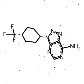 Nc1ncnc2c1nnn2[C@H]1CC[C@@H](C(F)(F)F)CC1